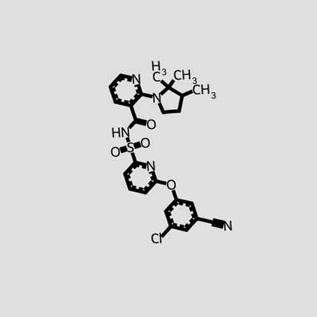 CC1CCN(c2ncccc2C(=O)NS(=O)(=O)c2cccc(Oc3cc(Cl)cc(C#N)c3)n2)C1(C)C